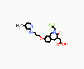 Cc1ccnc(NCCCOc2ccc3c(c2)CN(CC(F)(F)F)C(=O)C(CC(=O)O)C3)c1